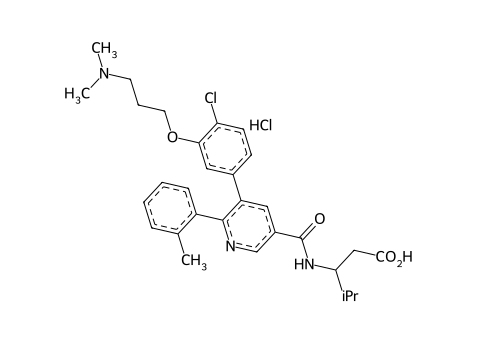 Cc1ccccc1-c1ncc(C(=O)NC(CC(=O)O)C(C)C)cc1-c1ccc(Cl)c(OCCCN(C)C)c1.Cl